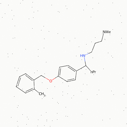 CCCC(NCCCNC)c1ccc(OCc2ccccc2C)cc1